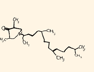 CC(C)CCCC(C)CCCC(C)CCCC(C)N1CC(C)C(=O)C(C)C1